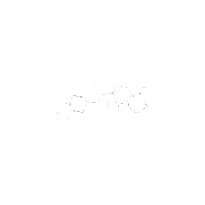 C/C(=C\c1ccc2c(c1)OCO2)C(=O)Nc1ccccc1C(=O)O